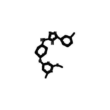 CSc1nc(C)cc(Oc2ccc(Nc3nnc(-c4cccc(C)c4)[nH]3)cc2)n1